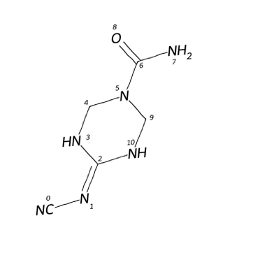 N#CN=C1NCN(C(N)=O)CN1